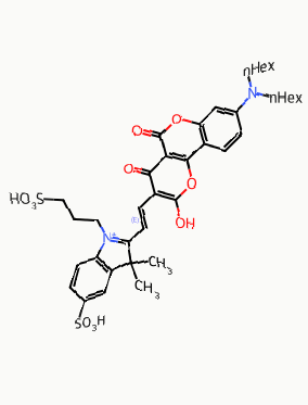 CCCCCCN(CCCCCC)c1ccc2c(c1)oc(=O)c1c(=O)c(/C=C/C3=[N+](CCCS(=O)(=O)O)c4ccc(S(=O)(=O)O)cc4C3(C)C)c(O)oc12